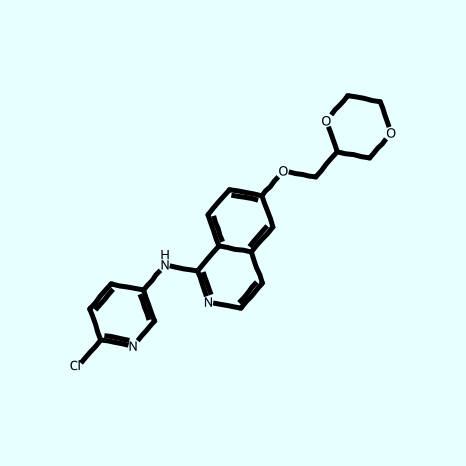 Clc1ccc(Nc2nccc3cc(OCC4COCCO4)ccc23)cn1